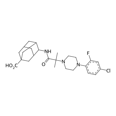 CC(C)(C(=O)NC1C2CC3CC1CC(C(=O)O)(C3)C2)N1CCN(c2ccc(Cl)cc2F)CC1